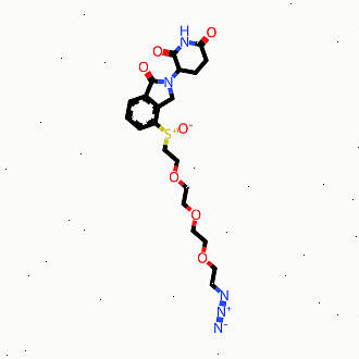 [N-]=[N+]=NCCOCCOCCOCC[S+]([O-])c1cccc2c1CN(C1CCC(=O)NC1=O)C2=O